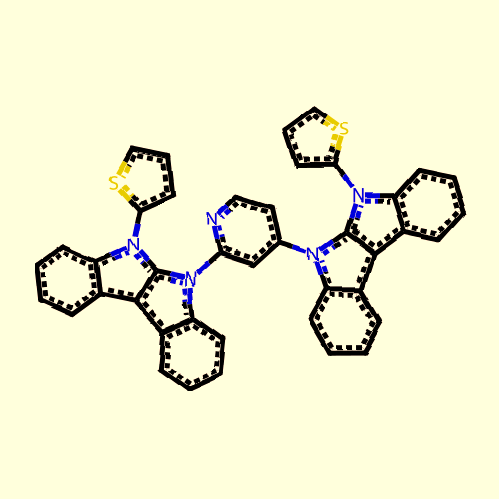 c1csc(-n2c3ccccc3c3c4ccccc4n(-c4ccnc(-n5c6ccccc6c6c7ccccc7n(-c7cccs7)c65)c4)c32)c1